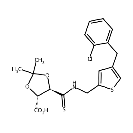 CC1(C)O[C@@H](C(=O)O)[C@H](C(=S)NCc2cc(Cc3ccccc3Cl)cs2)O1